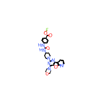 O=C(Nc1ccc(C(=O)OF)cc1)NC1CCN(c2nc(N3CCOCC3)c3oc4ncccc4c3n2)CC1